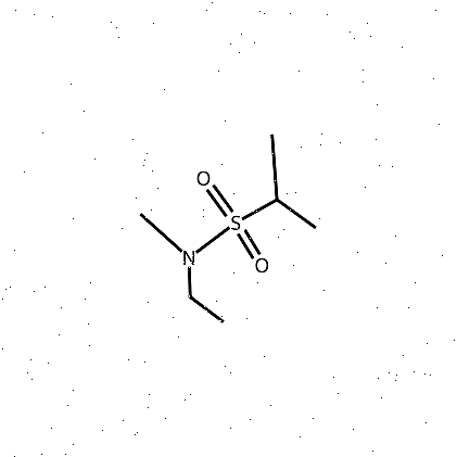 CCN(C)S(=O)(=O)C(C)C